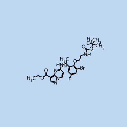 CCOC(=O)c1cnn2ccc(N[C@@H](C)c3cc(F)cc(Br)c3OCCNC(=O)OC(C)(C)C)nc12